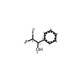 OC(c1ccccc1)C(F)F